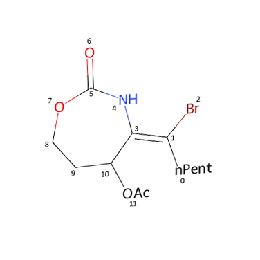 CCCCCC(Br)=C1NC(=O)OCCC1OC(C)=O